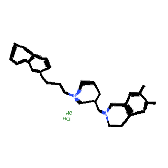 Cc1cc2c(cc1C)CN(CC1CCCN(CCCc3ccc4ccccc4c3)C1)CC2.Cl.Cl